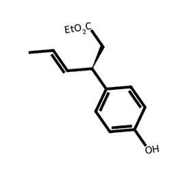 CC=C[C@@H](CC(=O)OCC)c1ccc(O)cc1